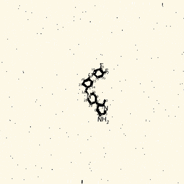 Cc1ncc(N)cc1C1CCN(Cc2ccc(Oc3ccc(F)c(F)c3)cc2)CC1